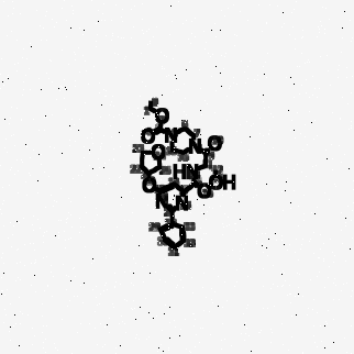 CCOC(=O)N1CCN(C(=O)[C@H](CO)NC(=O)c2cc(OC3CCOC3)nc(-c3ccccc3)n2)CC1